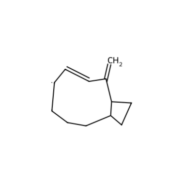 C=C1/C=C/[CH]CCCC2CCC12